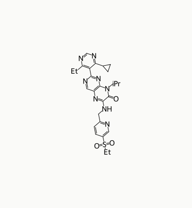 CCc1ncnc(C2CC2)c1-c1ncc2nc(NCc3ccc(S(=O)(=O)CC)cn3)c(=O)n(C(C)C)c2n1